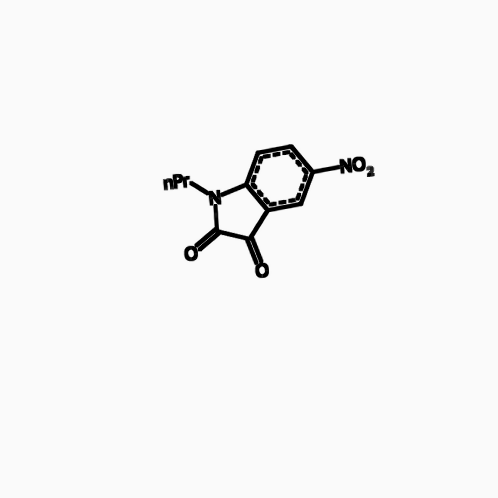 CCCN1C(=O)C(=O)c2cc([N+](=O)[O-])ccc21